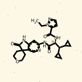 CCn1nccc1C(=O)N[C@H](C(=O)Nc1cc2c(cn1)C1(CCOCC1)C(=O)N2)C(C1CC1)C1CC1